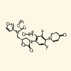 CC(C)OP(=O)(OC(C)C)N(C[C@H]1CN(c2cc(F)c(N3C=CC(=O)CC3)c(F)c2F)C(=O)O1)c1ccon1